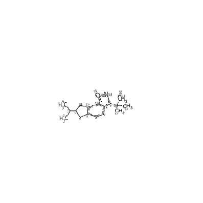 CC(C)C1Cc2ccc3c(C(C)(C)C)noc3c2C1